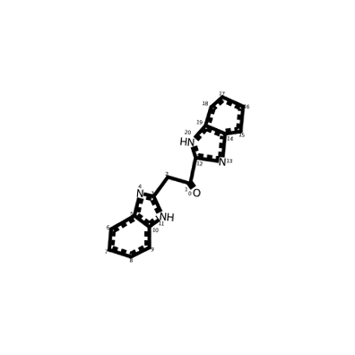 O=C(Cc1nc2ccccc2[nH]1)c1nc2ccccc2[nH]1